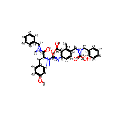 COc1ccc(C[C@H](Nc2nc3ccc(CN(Cc4ccccc4)C(=O)O)c(C)c3c(=O)o2)C(=O)N(C)Cc2ccccc2)cc1